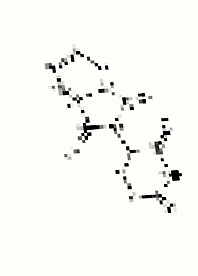 O=C1CCC(N2C(=O)c3cccnc3C2=O)C(=O)N1